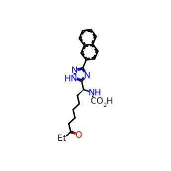 CCC(=O)CCCCC[C@H](NC(=O)O)c1nc(-c2ccc3ccccc3c2)n[nH]1